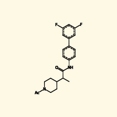 CC(=O)N1CCC(C(C)C(=O)Nc2ccc(-c3cc(F)cc(F)c3)cc2)CC1